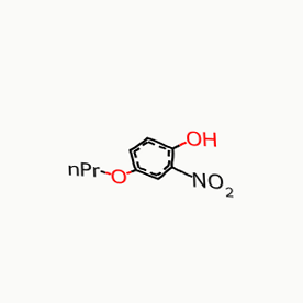 CCCOc1ccc(O)c([N+](=O)[O-])c1